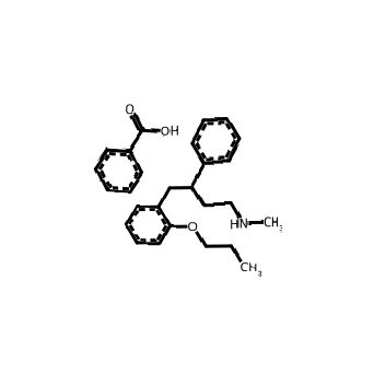 CCCOc1ccccc1CC(CCNC)c1ccccc1.O=C(O)c1ccccc1